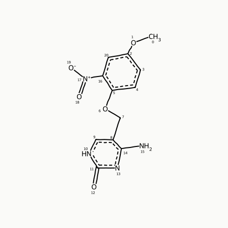 COc1ccc(OCc2c[nH]c(=O)nc2N)c([N+](=O)[O-])c1